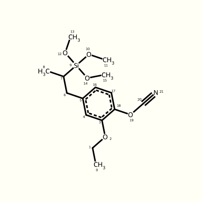 CCOc1cc(CC(C)[Si](OC)(OC)OC)ccc1OC#N